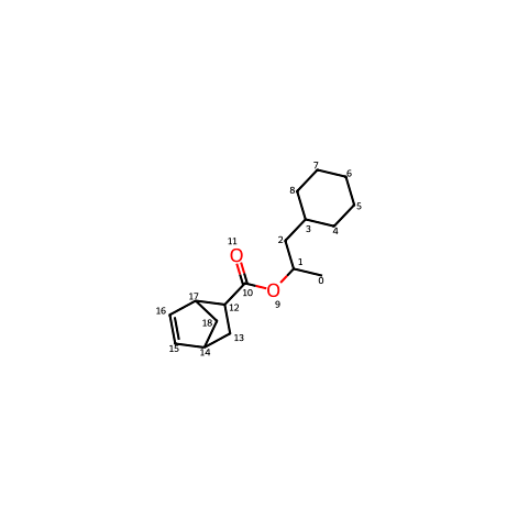 CC(CC1CCCCC1)OC(=O)C1CC2C=CC1C2